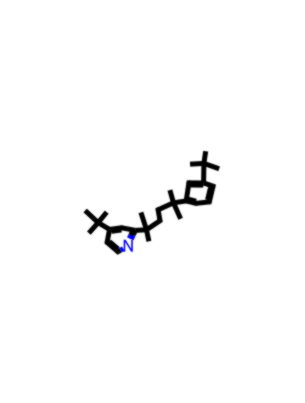 CC(C)(C)c1cccc(C(C)(C)CCC(C)(C)c2cc(C(C)(C)C)ccn2)c1